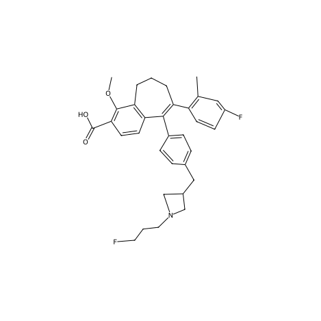 COc1c(C(=O)O)ccc2c1CCCC(c1ccc(F)cc1C)=C2c1ccc(CC2CN(CCCF)C2)cc1